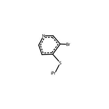 CC(C)Sc1ccncc1Br